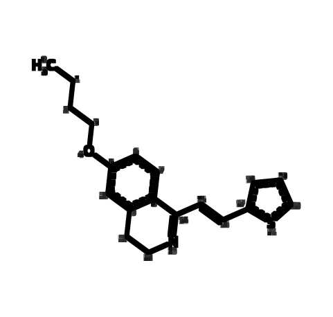 CCCCOc1ccc2c(c1)CCN=C2/C=C/c1cccs1